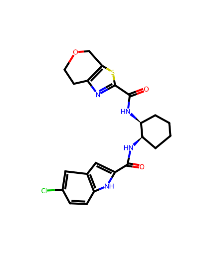 O=C(N[C@@H]1CCCC[C@@H]1NC(=O)c1nc2c(s1)COCC2)c1cc2cc(Cl)ccc2[nH]1